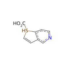 O=C(O)[SH]1C=Cc2cnccc21